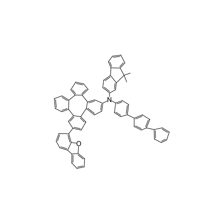 CC1(C)c2ccccc2-c2ccc(N(c3ccc(-c4ccc(-c5ccccc5)cc4)cc3)c3ccc4c(c3)-c3ccccc3-c3ccccc3-c3cc(-c5cccc6c5oc5ccccc56)ccc3-4)cc21